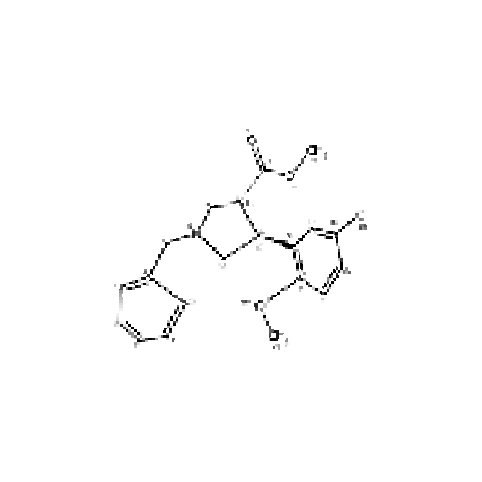 COC(=O)[C@H]1CN(Cc2ccccc2)C[C@@H]1c1cc(Cl)ccc1OC